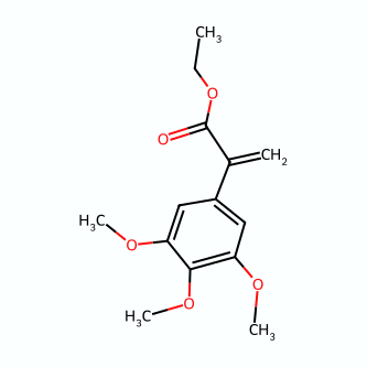 C=C(C(=O)OCC)c1cc(OC)c(OC)c(OC)c1